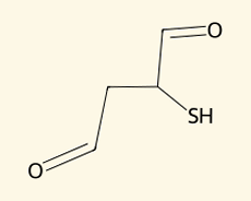 O=CCC(S)C=O